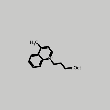 CCCCCCCCCCC[n+]1ccc(C)c2ccccc21